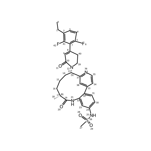 CCc1ccc(F)c(C2=CC(=O)N([C@H]3CCC[C@@H](C)C(=O)Nc4cc(NS(C)(=O)=O)ccc4-c4ccnc3c4)CC2)c1F